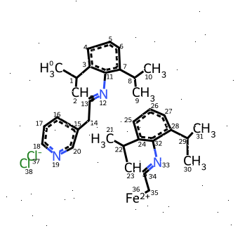 CC(C)c1cccc(C(C)C)c1N=CCc1cccnc1.CC(C)c1cccc(C(C)C)c1N=C[CH2][Fe+2].[Cl-].[Cl-]